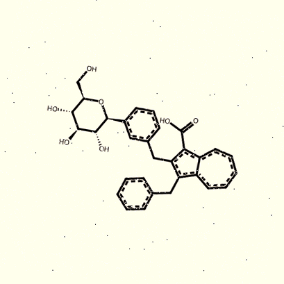 O=C(O)c1c2cccccc-2c(Cc2ccccc2)c1Cc1cccc([C@@H]2O[C@H](CO)[C@@H](O)[C@H](O)[C@H]2O)c1